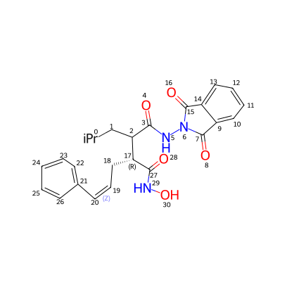 CC(C)CC(C(=O)NN1C(=O)c2ccccc2C1=O)[C@@H](C/C=C\c1ccccc1)C(=O)NO